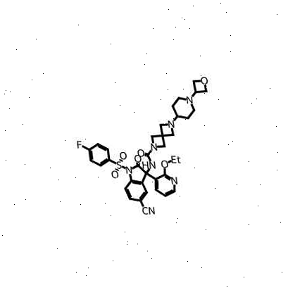 CCOc1ncccc1C1(NC(=O)N2CC3(C2)CN(C2CCN(C4COC4)CC2)C3)C(=O)N(S(=O)(=O)c2ccc(F)cc2)c2ccc(C#N)cc21